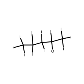 [O]C(I)(C(I)(I)I)C(I)(I)C(I)(I)C(I)(I)I